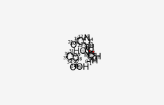 C=C[C@H]1C[N@]2CC[C@H]1C[C@@H]2[C@@H](O)c1ccnc2ccc(OC)cc12.O=C(O)C1=CCc2ccccc21